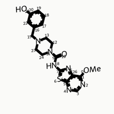 COc1ncnc2sc(NC(=O)N3CCN(Cc4cccc(O)c4)CC3)nc12